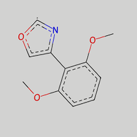 COc1cccc(OC)c1-c1co[c]n1